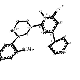 COc1cc(F)ccc1[C@@H]1CN(c2nc(-c3ccncc3)cc(=O)n2C)CCN1